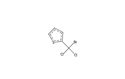 ClC(Cl)(Br)c1cccs1